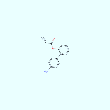 C=CC(=O)Oc1ccccc1-c1ccc(N)cc1